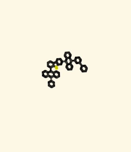 c1ccc(-c2cccc(-c3c4ccccc4c(-c4ccc5c(c4)sc4c(-c6c7ccccc7c(-c7ccccc7)c7ccccc67)cccc45)c4ccccc34)c2)cc1